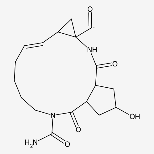 NC(=O)N1CCCC/C=C/C2CC2([C]=O)NC(=O)C2CC(O)CC2C1=O